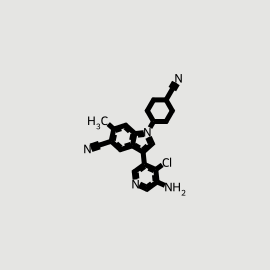 Cc1cc2c(cc1C#N)c(-c1cncc(N)c1Cl)cn2C1CCC(C#N)CC1